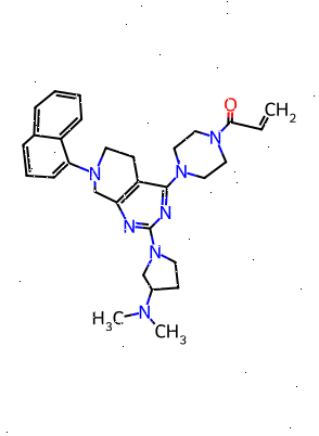 C=CC(=O)N1CCN(c2nc(N3CCC(N(C)C)C3)nc3c2CCN(c2cccc4ccccc24)C3)CC1